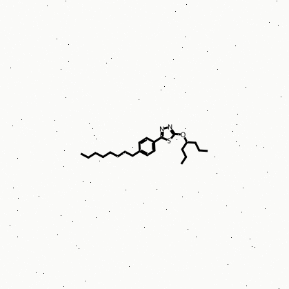 CCCCCCCCc1ccc(-c2nnc(OC(CCC)CCC)s2)cc1